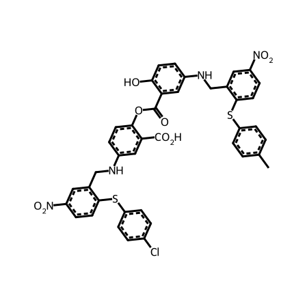 Cc1ccc(Sc2ccc([N+](=O)[O-])cc2CNc2ccc(O)c(C(=O)Oc3ccc(NCc4cc([N+](=O)[O-])ccc4Sc4ccc(Cl)cc4)cc3C(=O)O)c2)cc1